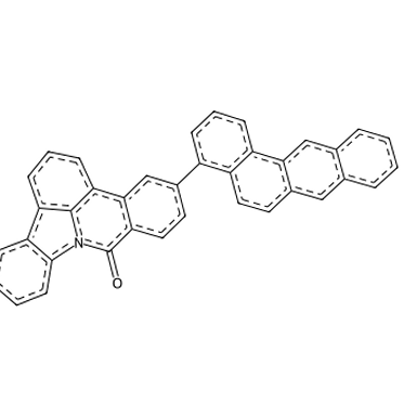 O=c1c2ccc(-c3cccc4c3ccc3cc5ccccc5cc34)cc2c2cccc3c4ccccc4n1c23